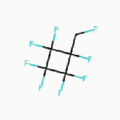 FCC1(F)C(F)(F)C(F)(F)C1(F)F